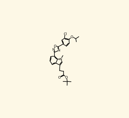 CC(C)Oc1ccc(-c2nc(-c3cccc4c(CCC(=O)OC(C)(C)C)cn(C)c34)no2)cc1Cl